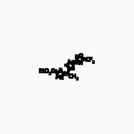 CCOC(=O)c1cnn(C(C)c2ccc(-c3noc(C(F)(F)F)n3)s2)c1